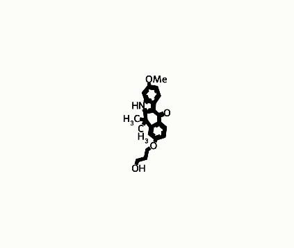 COc1ccc2c3c([nH]c2c1)C(C)(C)c1cc(OCCCO)ccc1C3=O